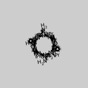 CC(C)CC[C@@H]1NC(=O)[C@H](CCCN)N(N)C(=O)[C@H](C(C)C)NC(=O)[C@@H]2CCCN2C(=O)[C@@H](Cc2ccccc2)N(N)C(=O)[C@H](CC(C)C)NC(=O)[C@H](CCCN)NC(=O)[C@H](C(C)C)NC(=O)[C@@H]2CCCN2C(=O)[C@@H](Cc2ccccc2)NC1=O